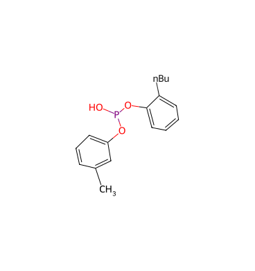 CCCCc1ccccc1OP(O)Oc1cccc(C)c1